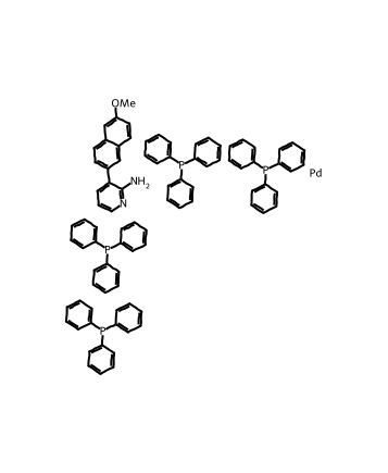 COc1ccc2cc(-c3cccnc3N)ccc2c1.[Pd].c1ccc(P(c2ccccc2)c2ccccc2)cc1.c1ccc(P(c2ccccc2)c2ccccc2)cc1.c1ccc(P(c2ccccc2)c2ccccc2)cc1.c1ccc(P(c2ccccc2)c2ccccc2)cc1